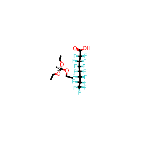 CCO[Si](C)(OCC)OCC.O=C(O)C(F)(F)C(F)(F)C(F)(F)C(F)(F)C(F)(F)C(F)(F)C(F)(F)F